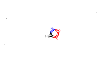 n1oo[siH]1